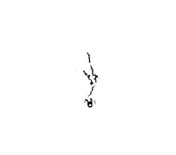 O=C(CCC(=O)N(CCCCCCN1C(=O)[C@@H]2[C@H](C1=O)[C@H]1C=C[C@@H]2C1)Cc1cn(CCOCCOCCOCCO)nn1)NCCO